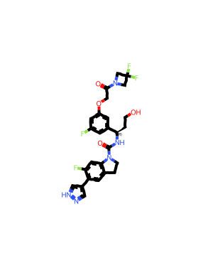 O=C(COc1cc(F)cc([C@@H](CCO)NC(=O)N2CCc3cc(-c4cn[nH]c4)c(F)cc32)c1)N1CC(F)(F)C1